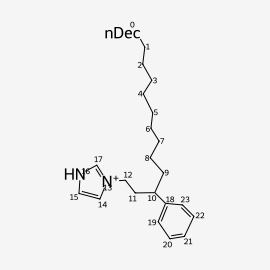 CCCCCCCCCCCCCCCCCCCC(CC[n+]1cc[nH]c1)c1ccccc1